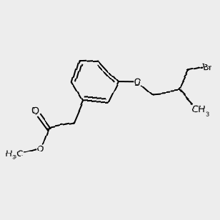 COC(=O)Cc1cccc(OCC(C)CBr)c1